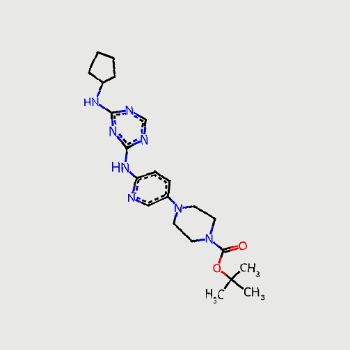 CC(C)(C)OC(=O)N1CCN(c2ccc(Nc3ncnc(NC4CCCC4)n3)nc2)CC1